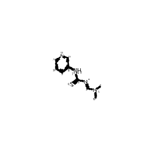 CN(C)C=NC(=S)Nc1cccnc1